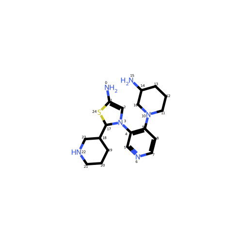 NC1=CN(c2cnccc2N2CCCC(N)C2)C(C2CCCNC2)S1